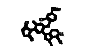 COc1ccc(Oc2cc(C)c(N3C(=O)CCC3=O)cc2-c2cn(C)c3c(=O)[nH]ccc23)c(Cl)c1